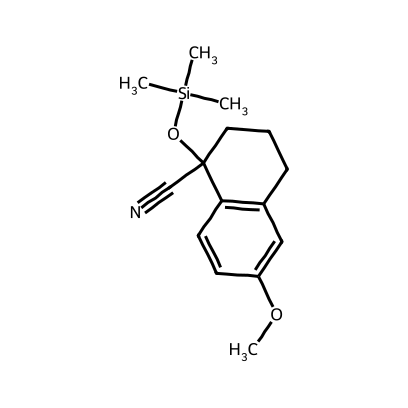 COc1ccc2c(c1)CCCC2(C#N)O[Si](C)(C)C